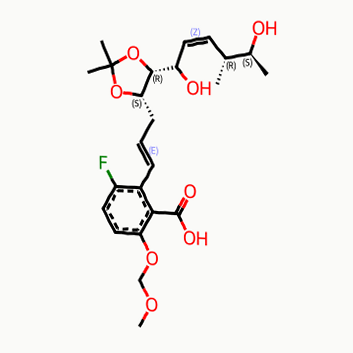 COCOc1ccc(F)c(/C=C/C[C@@H]2OC(C)(C)O[C@@H]2C(O)/C=C\[C@@H](C)[C@H](C)O)c1C(=O)O